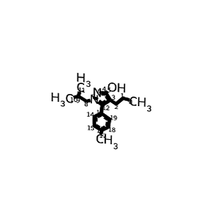 CCCc1c(O)nn(CC(C)C)c1-c1ccc(C)cc1